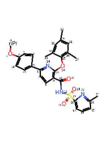 CCCOc1ccc(-c2ccc(C(=O)NS(=O)(=O)c3cccc(C)n3)c(Oc3c(C)cc(C)cc3C)n2)cc1